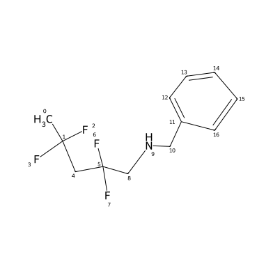 CC(F)(F)CC(F)(F)CNCc1ccccc1